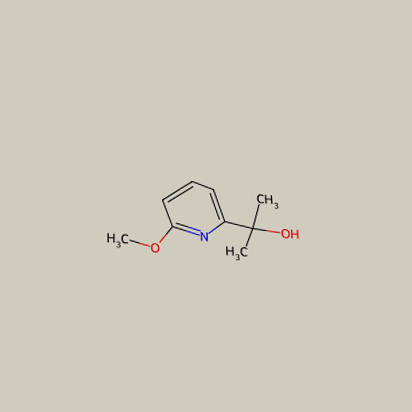 COc1cccc(C(C)(C)O)n1